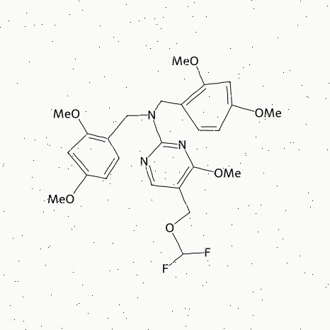 COc1ccc(CN(Cc2ccc(OC)cc2OC)c2ncc(COC(F)F)c(OC)n2)c(OC)c1